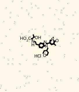 Cc1cc(-c2nc3cc(CCNC(C(=O)O)C(C)O)ccc3n2CC2CCOCC2)cn(C)c1=O.Cl